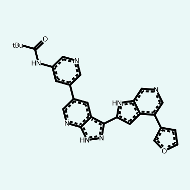 CC(C)(C)C(=O)Nc1cncc(-c2cnc3[nH]nc(-c4cc5c(-c6ccoc6)cncc5[nH]4)c3c2)c1